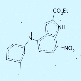 CCOC(=O)c1cc2c(Nc3cccc(C)c3)ccc([N+](=O)[O-])c2[nH]1